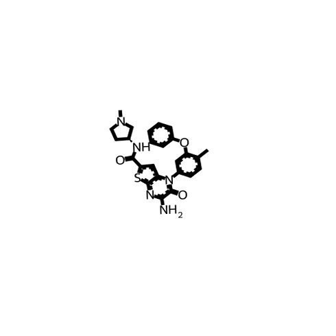 Cc1ccc(-n2c(=O)c(N)nc3sc(C(=O)N[C@@H]4CCN(C)C4)cc32)cc1Oc1ccccc1